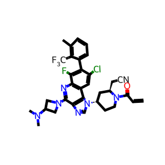 C=CC(=O)N1CC[C@H](n2cnc3c(N4CC(N(C)C)C4)nc4c(F)c(-c5cccc(C)c5C(F)(F)F)c(Cl)cc4c32)C[C@H]1CC#N